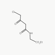 CCOC(=O)CNC(=O)CC(=O)CCl